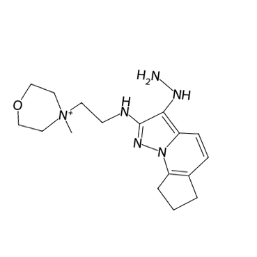 C[N+]1(CCNc2nn3c4c(ccc3c2NN)CCC4)CCOCC1